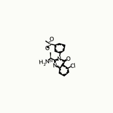 C[C@H](N)c1nc2cccc(Cl)c2c(=O)n1-c1cccc(S(C)(=O)=O)c1